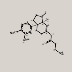 COc1ccc([C@@]23CCC(OC(=O)CCN)=C[C@@H]2N(C)CC3)cc1OC